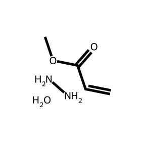 C=CC(=O)OC.NN.O